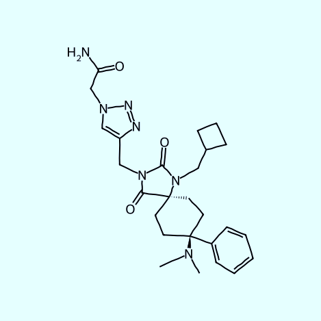 CN(C)[C@]1(c2ccccc2)CC[C@]2(CC1)C(=O)N(Cc1cn(CC(N)=O)nn1)C(=O)N2CC1CCC1